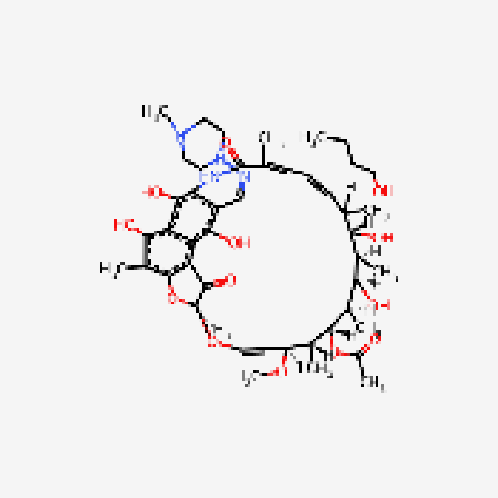 CCCCO.CO[C@H]1C=CO[C@@]2(C)Oc3c(C)c(O)c4c(O)c(c(C=NN5CCN(C)CC5)c(O)c4c3C2=O)NC(=O)C(C)=CC=C[C@H](C)[C@H](O)[C@@H](C)[C@@H](O)[C@@H](C)[C@H](OC(C)=O)[C@@H]1C